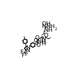 CCC(=O)N[C@@H](CCCNC(N)=NO)C(=O)NS(=O)(=O)c1ccc(-n2nc(C(F)(F)F)cc2-c2ccc(C)cc2)cc1